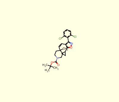 CC1(/C=C\c2c(-c3c(Cl)cccc3Cl)noc2C2CC2)CCN(C(=O)OC(C)(C)C)CC1